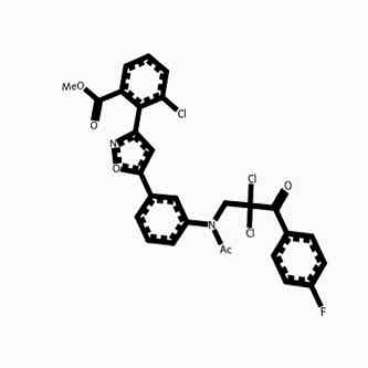 COC(=O)c1cccc(Cl)c1-c1cc(-c2cccc(N(CC(Cl)(Cl)C(=O)c3ccc(F)cc3)C(C)=O)c2)on1